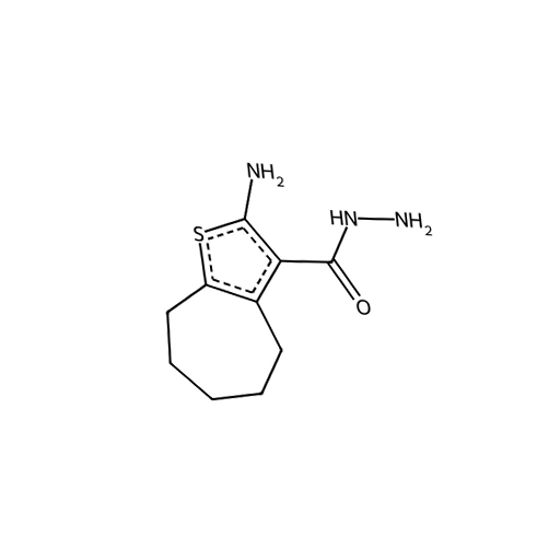 NNC(=O)c1c(N)sc2c1CCCCC2